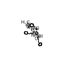 Cn1nnc2cc(CNC(=O)[C@@H]3C[C@H](NC(=O)CCc4ccccc4)CN3C(=O)[C@H](N)CCc3ccccc3)ccc21